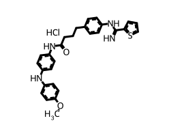 COc1ccc(Nc2ccc(NC(=O)CCCc3ccc(NC(=N)c4cccs4)cc3)cc2)cc1.Cl